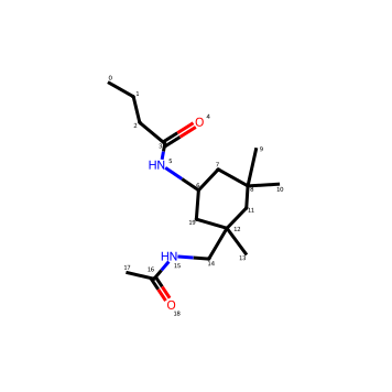 CCCC(=O)NC1CC(C)(C)CC(C)(CNC(C)=O)C1